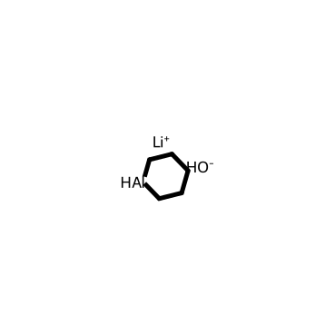 C1C[CH2][AlH][CH2]C1.[Li+].[OH-]